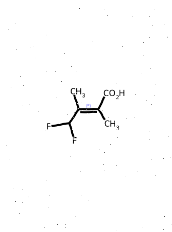 C/C(C(=O)O)=C(/C)C(F)F